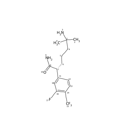 CC(C)(N)CCC[C@@H](C(N)=O)c1ccc(C(F)(F)F)c(F)c1